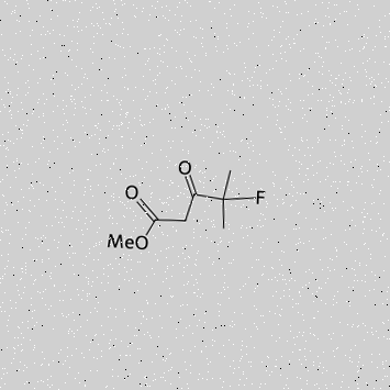 COC(=O)CC(=O)C(C)(C)F